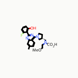 COCCN(C[C@H]1CCN(c2nc(-c3c(O)cccc3F)nc3cc(C)ccc23)C1)C(=O)O